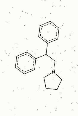 c1ccc(C(CN2CCCC2)c2ccccc2)cc1